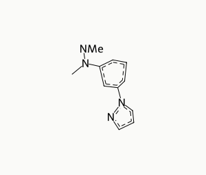 CNN(C)c1cccc(-n2cccn2)c1